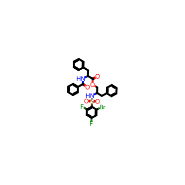 O=C(NC(Cc1ccccc1)C(=O)OCC(Cc1ccccc1)NS(=O)(=O)c1c(F)cc(F)cc1Br)c1ccccc1